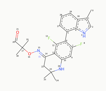 Cc1c[nH]c2c(-c3c(F)cc4c(c3F)/C(=N/OC(C)(C)C=O)CC(C)(C)N4)cccc12